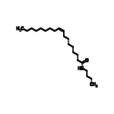 CCCCCCCC/C=C\CCCCCCCC(=O)NCCCC